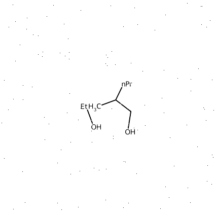 CCCC(C)CO.CCO